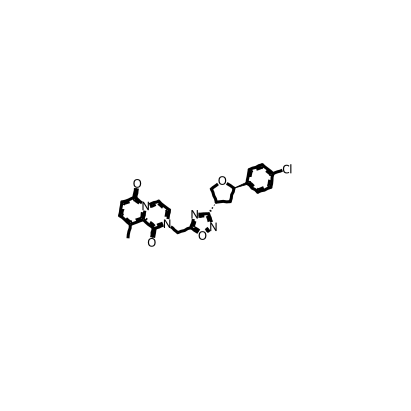 Cc1ccc(=O)n2ccn(Cc3nc([C@@H]4CO[C@@H](c5ccc(Cl)cc5)C4)no3)c(=O)c12